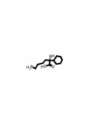 BCCCC[C@@](N)(C(=O)O)C1CCCCC1